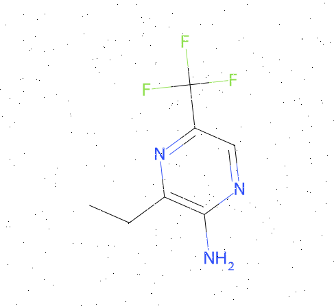 CCc1nc(C(F)(F)F)cnc1N